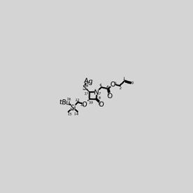 C=CCOC(=O)CN1C(=O)[C@H](OC[Si](C)(C)C(C)(C)C)[C@H]1[S][Ag]